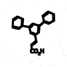 O=C(O)C=Cc1cc(-c2ccccc2)cc(-c2ccccc2)c1